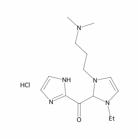 CCN1C=CN(CCCN(C)C)C1C(=O)c1ncc[nH]1.Cl